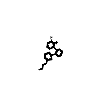 CCCCc1cccc(-c2ccccc2-c2cccc(F)c2F)c1